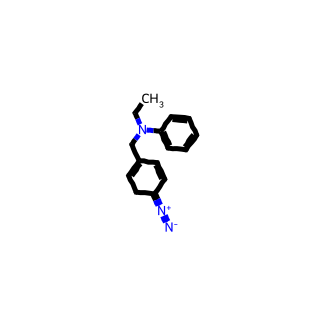 CCN(CC1=CCC(=[N+]=[N-])C=C1)c1ccccc1